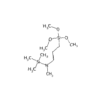 CO[Si](CCCN(C)[Si](C)(C)C)(OC)OC